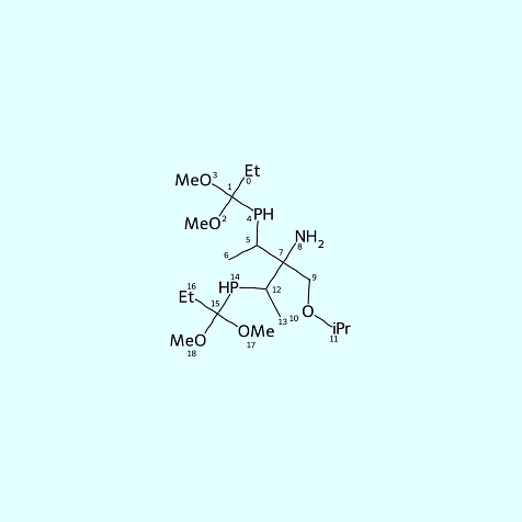 CCC(OC)(OC)PC(C)C(N)(COC(C)C)C(C)PC(CC)(OC)OC